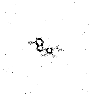 Nc1ncnc2c1ncn2[C@@H]1O[C@H](CO)[C@@H](N)[C@H]1C=O